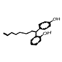 CCCCCCCC(c1ccc(O)cc1)c1ccccc1O